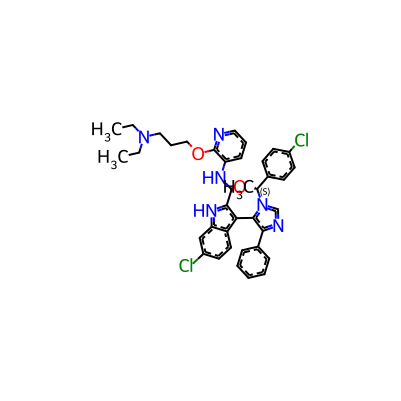 CCN(CC)CCCOc1ncccc1NC(=O)c1[nH]c2cc(Cl)ccc2c1-c1c(-c2ccccc2)ncn1[C@@H](C)c1ccc(Cl)cc1